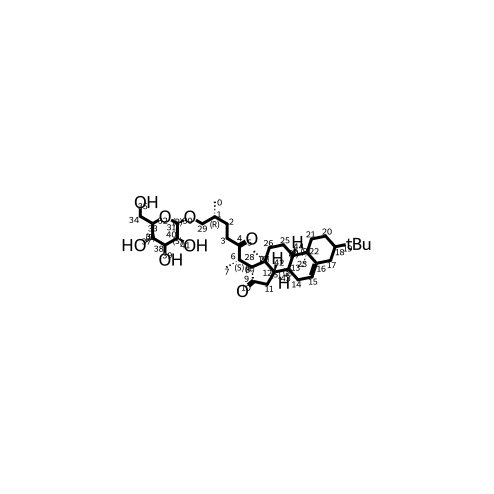 C[C@H](CCC(=O)[C@@H](C)[C@H]1C(=O)C[C@H]2[C@@H]3CC=C4CC(C(C)(C)C)CC[C@]4(C)[C@H]3CC[C@]12C)CO[C@@H]1OC(CO)[C@@H](O)C(O)[C@@H]1O